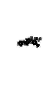 O=C(O)c1cc(C2CC2)ccc1Nc1ccc2c(cnn2Cc2ccccc2)c1